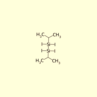 CC(C)[Si](I)(I)[Si](I)(I)C(C)C